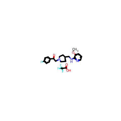 COc1cccnc1NCC1CCN(CC(=O)c2ccc(F)cc2)CC1.O=C(O)C(F)(F)F